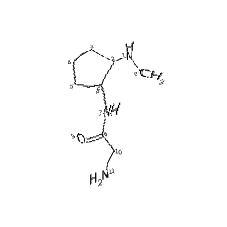 CNC1CCCC1NC(=O)CN